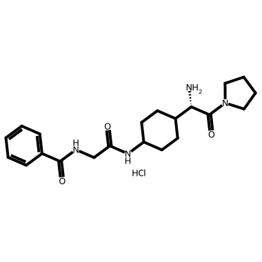 Cl.N[C@H](C(=O)N1CCCC1)C1CCC(NC(=O)CNC(=O)c2ccccc2)CC1